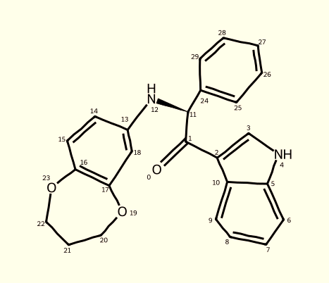 O=C(c1c[nH]c2ccccc12)[C@@H](Nc1ccc2c(c1)OCCCO2)c1ccccc1